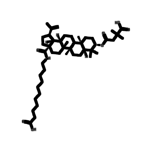 C=C(C)[C@@H]1CC[C@]2(C(=O)NCCCCCCCCCCC(=O)O)CC[C@]3(C)[C@H](CCC4[C@@]5(C)CC[C@H](OC(=O)CC(C)(C)C(=O)O)C(C)(C)[C@@H]5CC[C@]43C)[C@@H]12